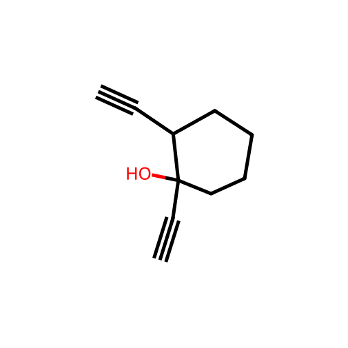 C#CC1CCCCC1(O)C#C